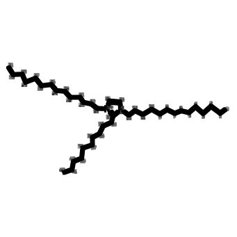 CCCCCCCCCCCCCCn1cc[n+](CCCCCCCCCCCCCC)c1CCCCCCCCCC